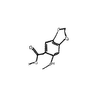 CBc1cc2c(cc1C(=O)OI)OCO2